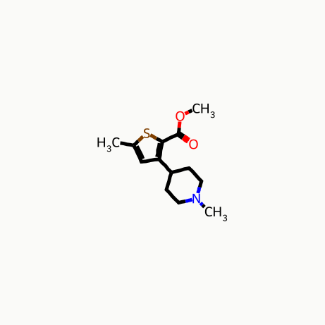 COC(=O)c1sc(C)cc1C1CCN(C)CC1